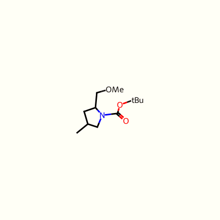 COCC1CC(C)CN1C(=O)OC(C)(C)C